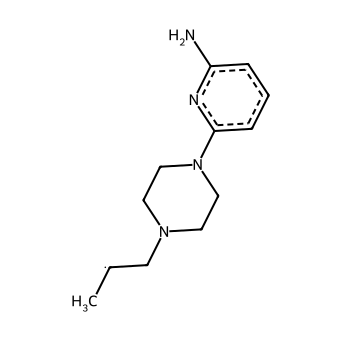 C[CH]CN1CCN(c2cccc(N)n2)CC1